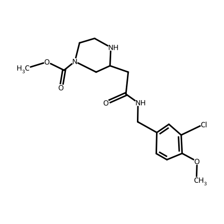 COC(=O)N1CCNC(CC(=O)NCc2ccc(OC)c(Cl)c2)C1